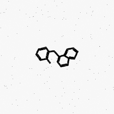 Cc1[c]cccc1Cc1cccc2ccccc12